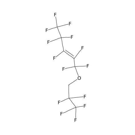 FC(=C(F)C(F)(F)C(F)(F)F)C(F)(F)OCC(F)(F)C(F)(F)F